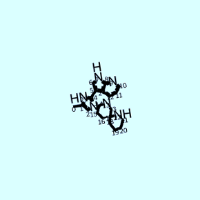 Cc1cnc(-c2c[nH]c3nccc(N4CCC[C@@]5(CCCCN5)C4)c23)[nH]1